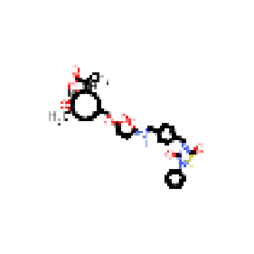 C=C1C(=O)O[C@H]2[C@H]1CC/C(COC(=O)/C=C\C(=O)NCc1ccc(Cn3c(=O)sn(-c4ccccc4)c3=O)cc1)=C\CC[C@@]1(C)O[C@@H]21